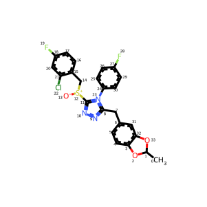 CC1Oc2ccc(Cc3nnc([S+]([O-])Cc4ccc(F)cc4Cl)n3-c3ccc(F)cc3)cc2O1